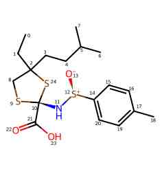 CCC1(CCC(C)C)CS[C@@](N[S@@+]([O-])c2ccc(C)cc2)(C(=O)O)S1